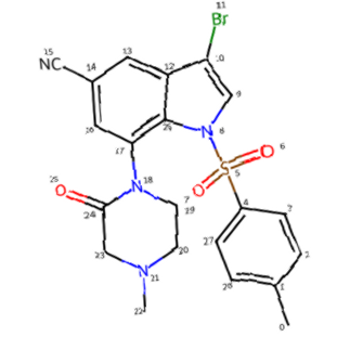 Cc1ccc(S(=O)(=O)n2cc(Br)c3cc(C#N)cc(N4CCN(C)CC4=O)c32)cc1